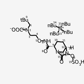 CC(C)(C)CN(CCONC(=O)[C@@H]1CC[C@@H]2CN1C(=O)N2OS(=O)(=O)O)C(=O)[O-].CCCC[N+](CCCC)(CCCC)CCCC